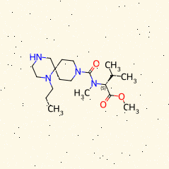 CCCN1CCNCC12CCN(C(=O)N(C)[C@H](C(=O)OC)C(C)C)CC2